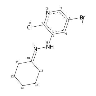 Clc1ncc(Br)cc1NN=C1CCCCC1